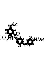 CNc1ccc(Cc2ccc(NC(=O)c3cc(CC(C)=O)ccc3C(=O)O)cc2)cc1